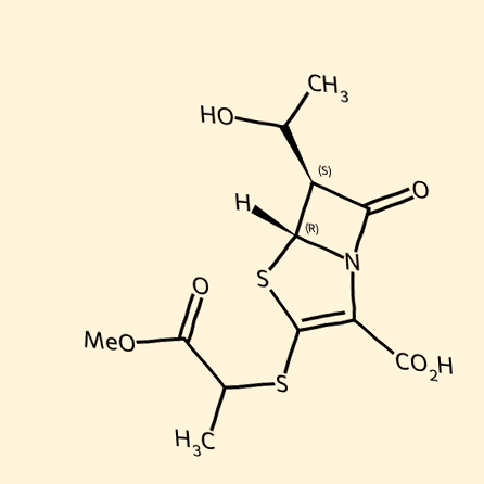 COC(=O)C(C)SC1=C(C(=O)O)N2C(=O)[C@H](C(C)O)[C@H]2S1